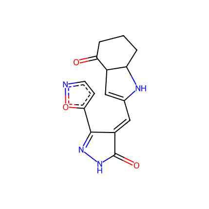 O=C1NN=C(c2ccno2)/C1=C\C1=CC2C(=O)CCCC2N1